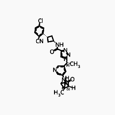 C[C@H](c1cncc(N2C(=O)[C@H]3[C@H]4C2[C@]43C)c1)n1cc(C(=O)N[C@H]2C[C@@H](c3cc(Cl)ccc3C#N)C2)nn1